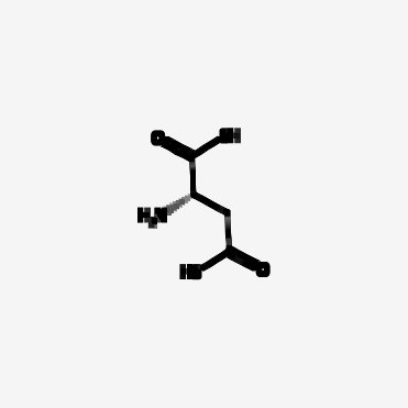 N[C@@H](CC(=O)S)C(=O)S